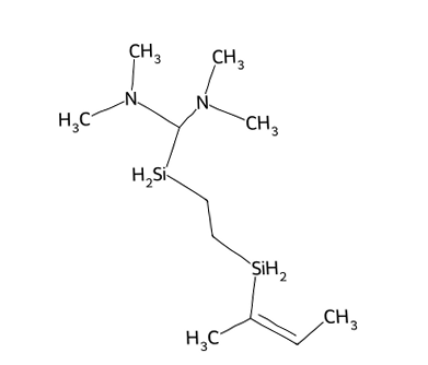 CC=C(C)[SiH2]CC[SiH2]C(N(C)C)N(C)C